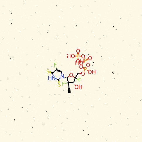 C#CC1(F)[C@@H](O)[C@@](F)(COP(=O)(O)OP(=O)(O)OP(=O)(O)O)O[C@H]1n1cc(F)c(=S)[nH]c1=S